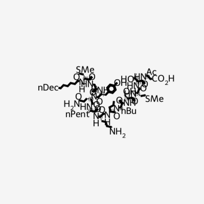 CCCCCCCCCCCCCCCC(=O)N[C@H](CCSC)C(=O)NCC(=O)N[C@@H](Cc1ccc(O)cc1)C(=O)N[C@@H](CCC(N)=O)C(=O)N[C@@H](CCCCC)C(=O)N[C@@H](CCCCN)C(=O)N[C@H]1CC(C)N([C@@H](CCCC)C(=O)N[C@@H](CO)C(=O)N[C@@H](CCSC)C(=O)N[C@H](C(=O)N[C@@H](CC(=O)O)C(C)=O)[C@@H](C)O)C1=O